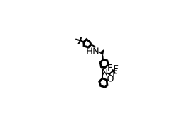 CC(C)(C)c1ccc(CNC2CC2c2ccc(N(Cc3ccccc3)C(=O)C(F)(F)F)cc2)cc1